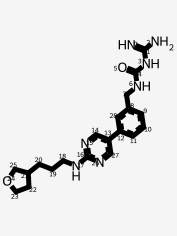 N=C(N)NC(=O)NCc1cccc(-c2cnc(NCCCC3CCOC3)nc2)c1